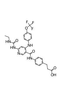 CCNC(=O)Nc1cc(Nc2ccc(OC(F)(F)F)cc2)c(C(=O)Nc2ccc(CCC(=O)O)cc2)cn1